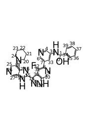 OC(Nc1cncc(-c2ncc3[nH]nc(-c4nc5c(N6CCCCC6)cncc5[nH]4)c3c2F)c1)c1ccccc1